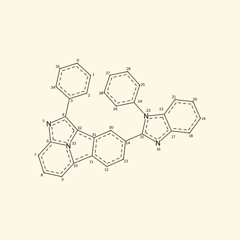 c1ccc(-c2nc3cccc4c5ccc(-c6nc7ccccc7n6-c6ccccc6)cc5c2n34)cc1